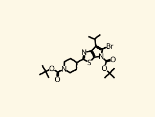 CC(C)c1c(Br)n(C(=O)OC(C)(C)C)c2sc(C3CCN(C(=O)OC(C)(C)C)CC3)nc12